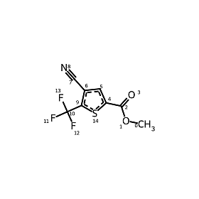 COC(=O)c1cc(C#N)c(C(F)(F)F)s1